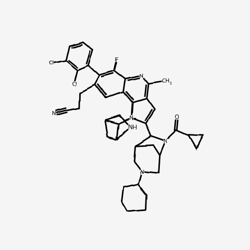 Cc1nc2c(F)c(-c3cccc(Cl)c3Cl)c(CCC#N)cc2c2c1cc(C1C3CC(CN(C4CCCCC4)C3)N1C(=O)C1CC1)n2C1C2CNC1C2